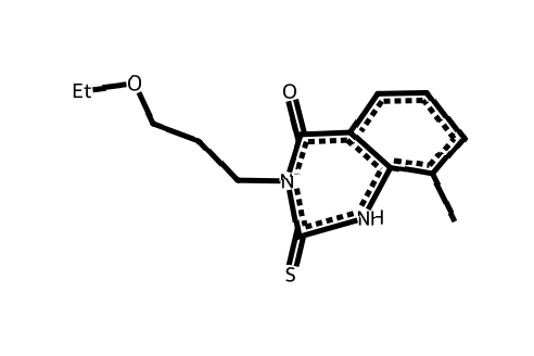 CCOCCCn1c(=S)[nH]c2c(C)cccc2c1=O